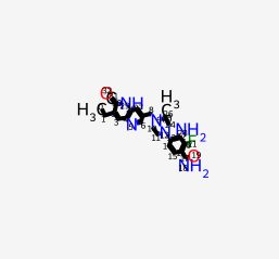 CCC1=Cc2ncc(CN3CCN(c4ccc(C(N)=O)c(F)c4N)C[C@@H]3C)cc2NC1=C=O